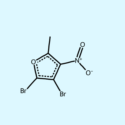 Cc1oc(Br)c(Br)c1[N+](=O)[O-]